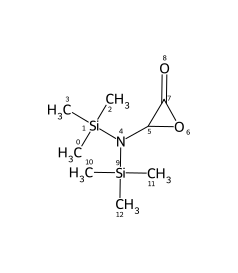 C[Si](C)(C)N(C1OC1=O)[Si](C)(C)C